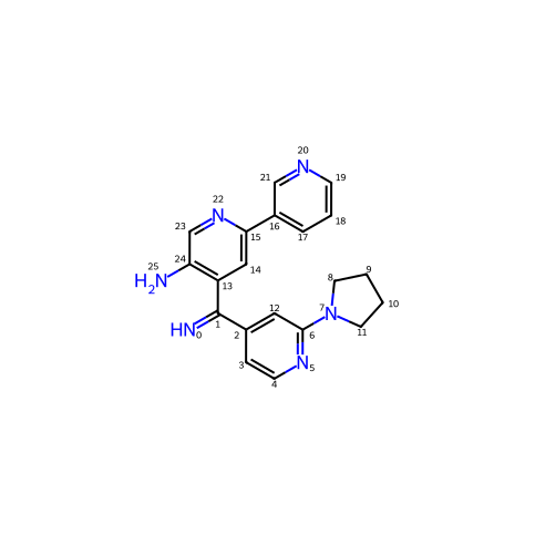 N=C(c1ccnc(N2CCCC2)c1)c1cc(-c2cccnc2)ncc1N